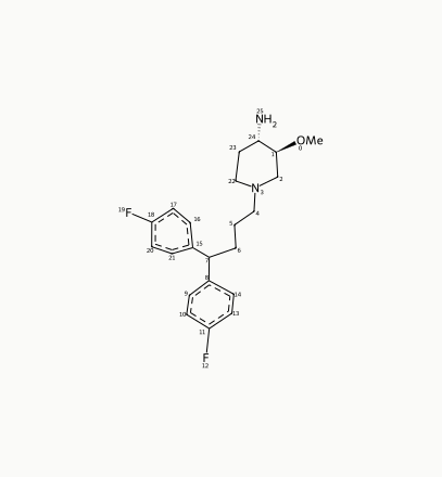 CO[C@H]1CN(CCCC(c2ccc(F)cc2)c2ccc(F)cc2)CC[C@@H]1N